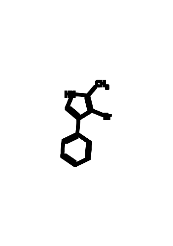 Cc1[nH]cc(-c2ccccc2)c1Br